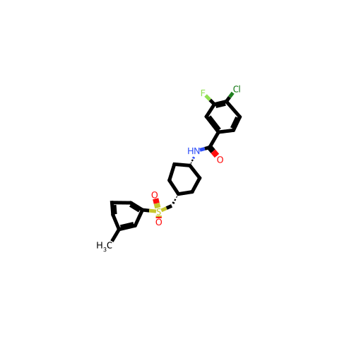 Cc1cccc(S(=O)(=O)C[C@H]2CC[C@@H](NC(=O)c3ccc(Cl)c(F)c3)CC2)c1